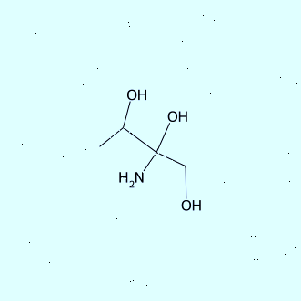 CC(O)C(N)(O)CO